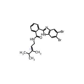 C/C(=C\CNC(=O)c1ccccc1-c1nc2cc(Br)c(Br)cc2[nH]1)C(C)C